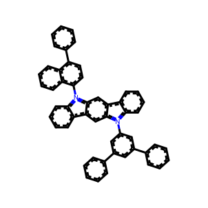 c1ccc(-c2cc(-c3ccccc3)cc(-n3c4ccccc4c4cc5c(cc43)c3ccccc3n5-c3ccc(-c4ccccc4)c4ccccc34)c2)cc1